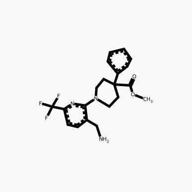 COC(=O)C1(c2ccccc2)CCN(c2nc(C(F)(F)F)ccc2CN)CC1